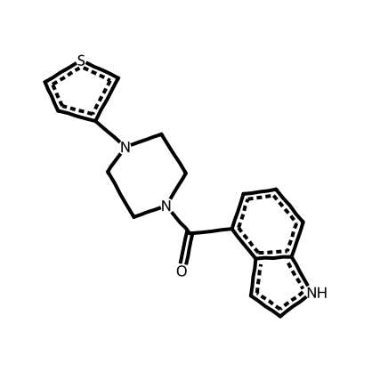 O=C(c1cccc2[nH]ccc12)N1CCN(c2ccsc2)CC1